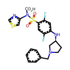 O=C(O)N(c1cscn1)S(=O)(=O)c1cc(F)c(N[C@H]2CCN(Cc3ccccc3)C2)cc1F